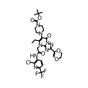 CCc1c(N2CCN(C(=O)OC(C)(C)C)CC2)c(=O)n2nc(C3=COCCO3)nc2n1CC(=O)Nc1ccc(C(F)(F)F)nc1Cl